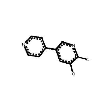 Clc1cc(-c2ccncc2)cnc1Cl